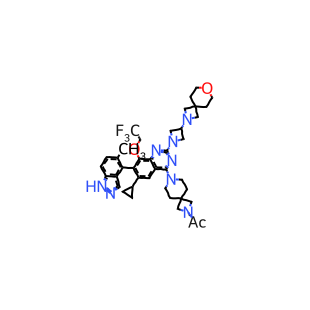 CC(=O)N1CC2(CCN(c3nc(N4CC(N5CC6(CCOCC6)C5)C4)nc4c(OCC(F)(F)F)c(-c5c(C)ccc6[nH]ncc56)c(C5CC5)cc34)CC2)C1